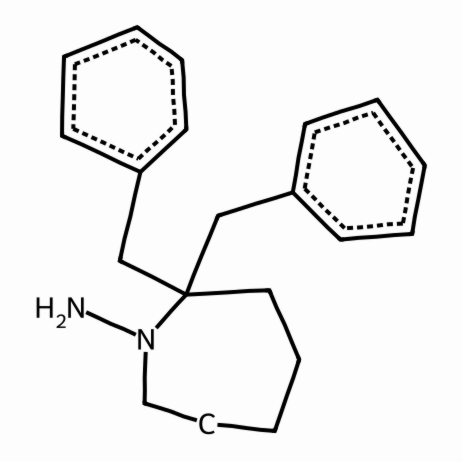 NN1CCCCCC1(Cc1ccccc1)Cc1ccccc1